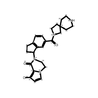 O=C(c1ccc2c(c1)C(N1CCn3ccc(Cl)c3C1=O)CC2)N1CCC2(CCNCC2)C1